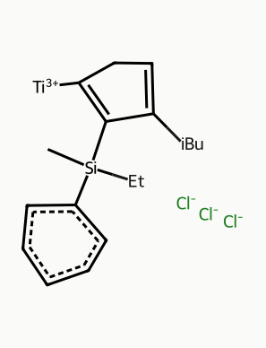 CCC(C)C1=CC[C]([Ti+3])=C1[Si](C)(CC)c1ccccc1.[Cl-].[Cl-].[Cl-]